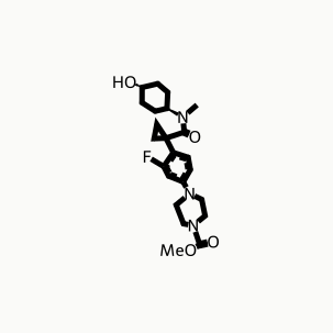 COC(=O)N1CCN(c2ccc(C3(C(=O)N(C)[C@H]4CC[C@H](O)CC4)CC3)c(F)c2)CC1